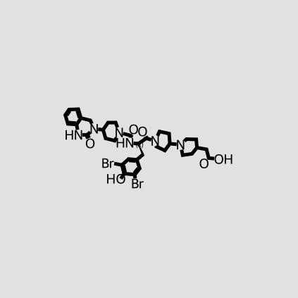 O=C(O)CC1CCN(C2CCN(C(=O)[C@@H](Cc3cc(Br)c(O)c(Br)c3)NC(=O)N3CCC(N4Cc5ccccc5NC4=O)CC3)CC2)CC1